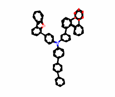 c1ccc(-c2ccc(-c3ccc(N(c4ccc(-c5cccc6c5oc5ccccc56)cc4)c4cccc(-c5cccc(-c6ccccc6)c5-c5ccccc5-c5ccccc5)c4)cc3)cc2)cc1